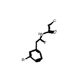 O=C(CCl)NC(F)Cc1cccc(Br)c1